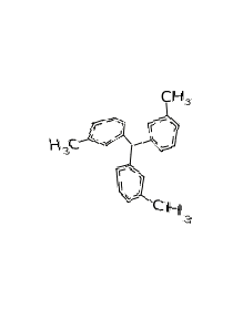 Cc1cccc(C(c2cccc(C)c2)c2cccc(C)c2)c1